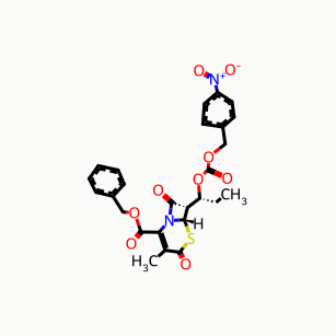 CC[C@@H](OC(=O)OCc1ccc([N+](=O)[O-])cc1)[C@H]1C(=O)N2C(C(=O)OCc3ccccc3)=C(C)C(=O)S[C@@H]12